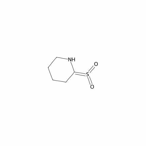 O=S(=O)=C1CCCCN1